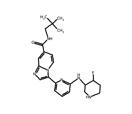 CC(C)(C)CNC(=O)c1ccn2c(-c3cccc(NC4CNCCC4F)n3)cnc2c1